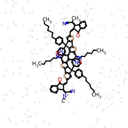 [C-]#[N+]/C(C#N)=C1/C(=C/c2cc3c(s2)-c2sc4c5nonc5c5c6c7c(sc6c6nsnc6c5c4c2C3(c2ccc(CCCCCC)cc2)c2ccc(CCCCCC)cc2)-c2sc(/C=C3\C(=O)c4ccccc4\C3=C(/C)C#N)cc2C7(c2ccc(CCCCCC)cc2)c2ccc(CCCCCC)cc2)C(=O)c2ccccc21